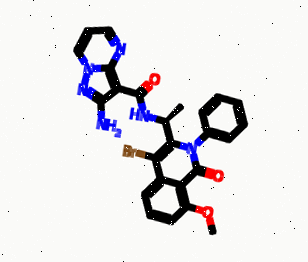 COc1cccc2c(Br)c([C@H](C)NC(=O)c3c(N)nn4cccnc34)n(-c3ccccc3)c(=O)c12